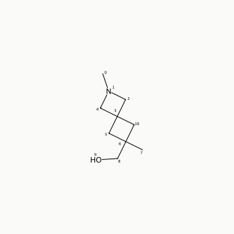 CN1CC2(C1)CC(C)(CO)C2